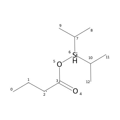 CC[CH]C(=O)O[SiH](C(C)C)C(C)C